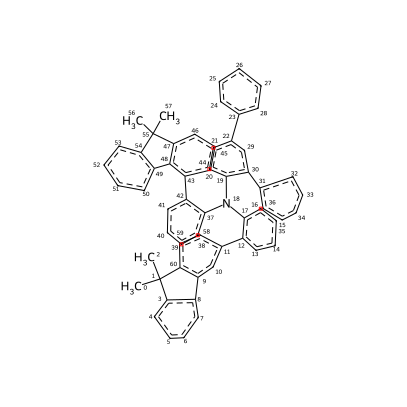 CC1(C)c2ccccc2-c2cc(-c3ccccc3N(c3ccc(-c4ccccc4)cc3-c3ccccc3)c3ccccc3-c3cccc4c3-c3ccccc3C4(C)C)ccc21